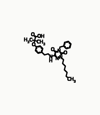 CCCCCCCn1nc(NCCc2ccc(OC(C)(C)C(=O)O)cc2)c(=O)n(Cc2ccccc2)c1=O